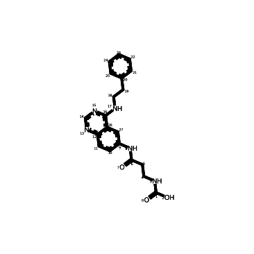 O=C(O)NCCC(=O)Nc1ccc2ncnc(NCCc3ccccc3)c2c1